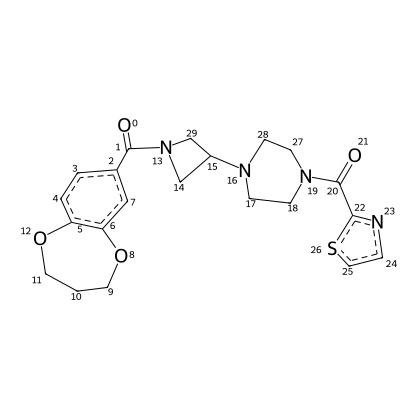 O=C(c1ccc2c(c1)OCCCO2)N1CC(N2CCN(C(=O)c3nccs3)CC2)C1